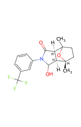 CC12CC[C@@](C)(O1)[C@H]1C(O)N(c3cccc(C(F)(F)F)c3)C(=O)[C@H]12